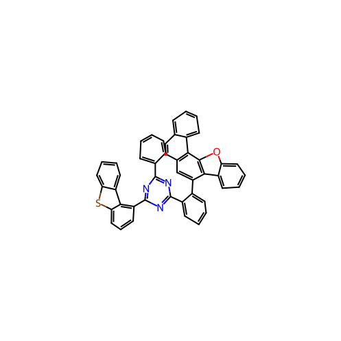 c1ccc(-c2nc(-c3ccccc3-c3cc4ccc5ccccc5c4c4oc5ccccc5c34)nc(-c3cccc4sc5ccccc5c34)n2)cc1